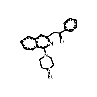 CCN1CCN(c2nc(CC(=O)c3ccccc3)cc3ccccc23)CC1